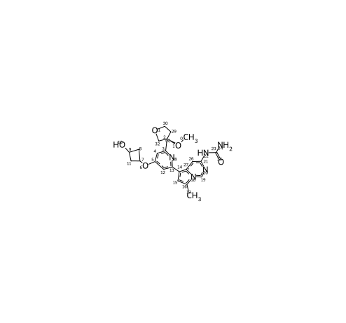 CO[C@]1(c2cc(OC3CC(O)C3)cc(-c3cc(C)n4cnc(NC(N)=O)cc34)n2)CCOC1